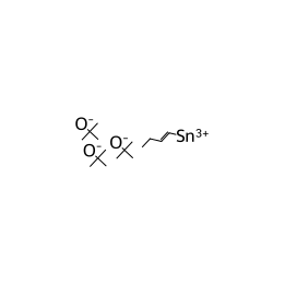 CC(C)(C)[O-].CC(C)(C)[O-].CC(C)(C)[O-].CCC=[CH][Sn+3]